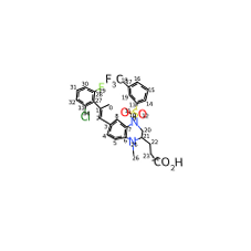 CC(=Cc1ccc2c(c1)N(S(=O)(=O)c1cccc(C(F)(F)F)c1)CC(CCC(=O)O)N2C)c1c(F)cccc1Cl